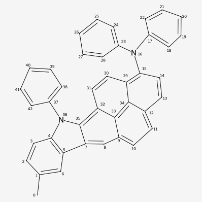 Cc1ccc2c(c1)c1cc3ccc4ccc(N(c5ccccc5)c5ccccc5)c5ccc(c3c45)c1n2-c1ccccc1